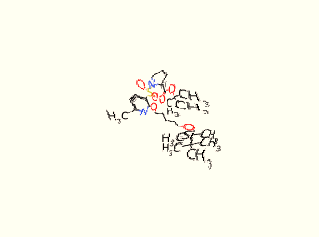 Cc1ccc(S(=O)(=O)N2CCC[C@H]2C(=O)OC(C)(C)C)c(OCCCCCO[Si](C)(C)C(C)(C)C)n1